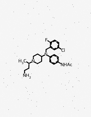 CC(=O)Nc1ccc(N(Cc2cc(Cl)ccc2F)C2CCN(C(C)CCN)CC2)cc1